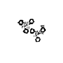 Br.c1ccc([PH][Pd]([PH]c2ccccc2)[PH]c2ccccc2)cc1.c1ccc([PH][Pd]([PH]c2ccccc2)[PH]c2ccccc2)cc1